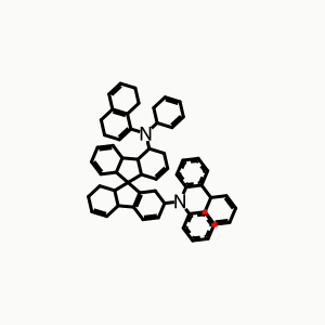 C1=CCC(c2ccccc2N(c2ccccc2)C2C=CC3=C(C2)C2(C4C=CC=CC4C4C(N(C5=CCCC6=C5CCC=C6)C5C=CC=CC5)CC=CC42)C2CCC=CC32)C=C1